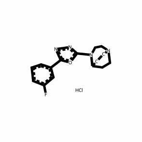 Cl.Fc1cccc(-c2nnc(N3CCN4CCC3CC4)o2)c1